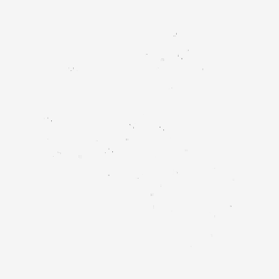 COCCN=C=NC1CCN(c2nc(OC[C@@H]3CCCN3C)nc3c2CCN(c2cccc4cccc(C)c24)C3)C1